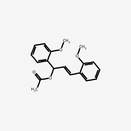 COc1ccccc1/C=C/C(OC(C)=O)c1ccccc1OC